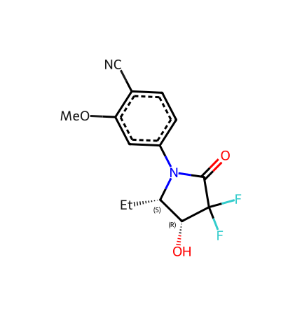 CC[C@H]1[C@@H](O)C(F)(F)C(=O)N1c1ccc(C#N)c(OC)c1